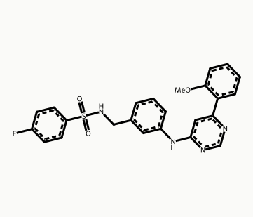 COc1ccccc1-c1cc(Nc2cccc(CNS(=O)(=O)c3ccc(F)cc3)c2)ncn1